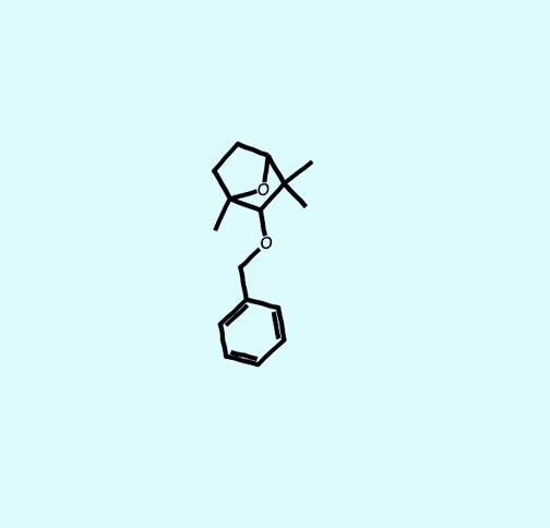 CC12CCC(O1)C(C)(C)C2OCc1ccccc1